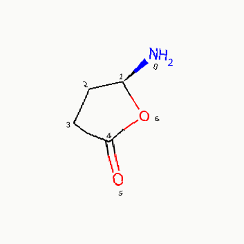 N[C@@H]1CCC(=O)O1